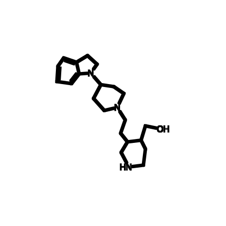 OCC1CCNCC1CCN1CCC(N2CCc3ccccc32)CC1